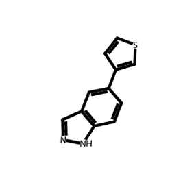 c1cc(-c2ccc3[nH]ncc3c2)cs1